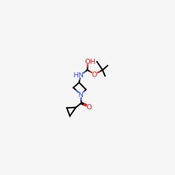 CC(C)(C)OC(O)NC1CN(C(=O)C2CC2)C1